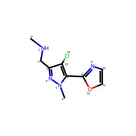 CNCc1nn(C)c(-c2ncco2)c1Cl